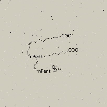 CCCCC/C=C\C/C=C\CCCCCCCC(=O)[O-].CCCCC/C=C\C/C=C\CCCCCCCC(=O)[O-].[O-2].[Zr+4]